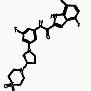 Cc1ccc(F)c2cc(C(=O)Nc3cc(F)cc(N4CC[C@@H](N5CCS(=O)(=O)CC5)C4)c3)[nH]c12